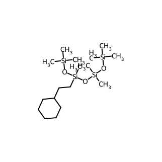 C[Si](C)(C)O[Si](C)(C)O[Si](C)(CCC1CCCCC1)O[Si](C)(C)C